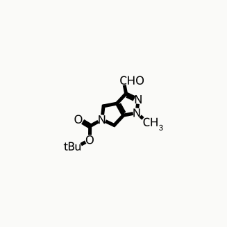 Cn1nc(C=O)c2c1CN(C(=O)OC(C)(C)C)C2